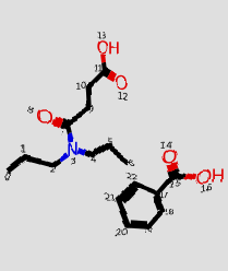 CCCN(CCC)C(=O)CCC(=O)O.O=C(O)c1ccccc1